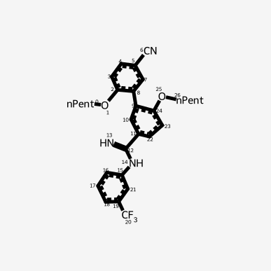 CCCCCOc1ccc(C#N)cc1-c1cc(C(=N)Nc2cccc(C(F)(F)F)c2)ccc1OCCCCC